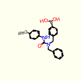 COc1ccc(NC(=O)N(Cc2ccccc2)Cc2ccc(B(O)O)cc2)cc1